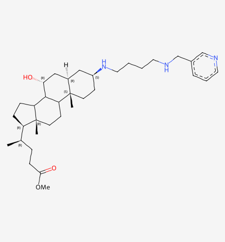 COC(=O)CC[C@@H](C)[C@H]1CCC2C3C(CC[C@@]21C)[C@@]1(C)CC[C@H](NCCCCNCc2cccnc2)C[C@@H]1C[C@H]3O